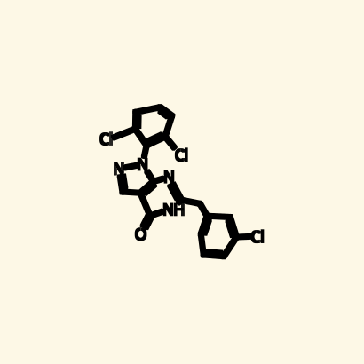 O=c1[nH]c(Cc2cccc(Cl)c2)nc2c1cnn2-c1c(Cl)cccc1Cl